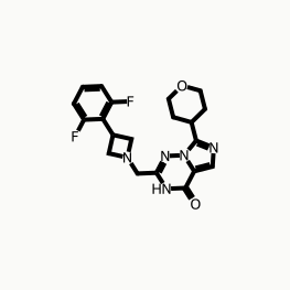 O=c1[nH]c(CN2CC(c3c(F)cccc3F)C2)nn2c(C3CCOCC3)ncc12